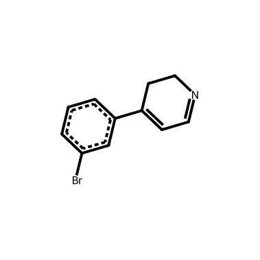 Brc1cccc(C2=CC=NCC2)c1